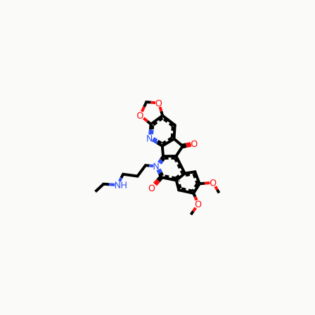 CCNCCCn1c2c(c3cc(OC)c(OC)cc3c1=O)C(=O)c1cc3c(nc1-2)OCO3